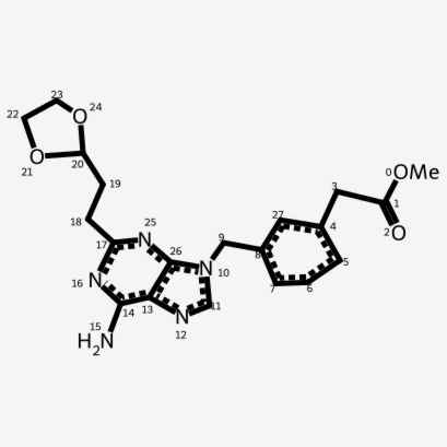 COC(=O)Cc1cccc(Cn2cnc3c(N)nc(CCC4OCCO4)nc32)c1